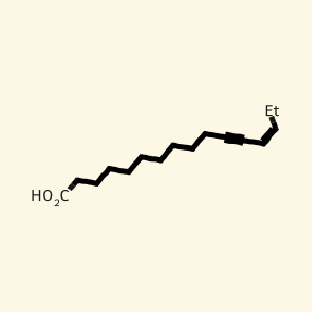 CC/C=C\C#CCCCCCCCCCC(=O)O